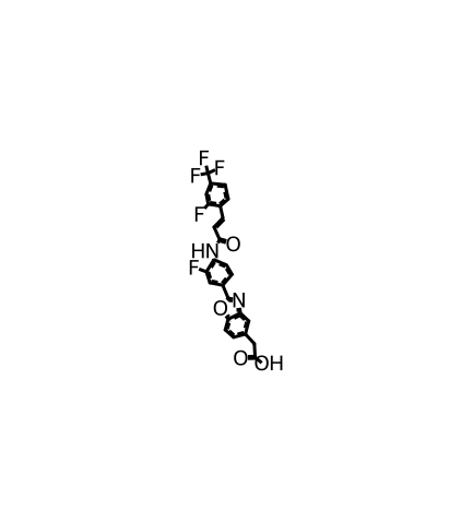 O=C(O)Cc1ccc2oc(-c3ccc(NC(=O)C=Cc4ccc(C(F)(F)F)cc4F)c(F)c3)nc2c1